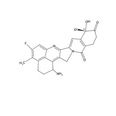 CC[C@@]1(O)C(=O)CCc2c1cc1n(c2=O)Cc2c-1nc1cc(F)c(C)c3c1c2C(N)CC3